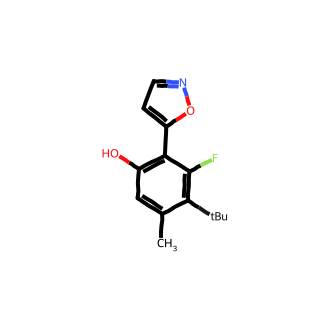 Cc1cc(O)c(-c2ccno2)c(F)c1C(C)(C)C